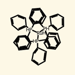 c1ccc([PH](c2ccccc2)(c2ccccc2)[RuH]([PH](c2ccccc2)(c2ccccc2)c2ccccc2)[PH](c2ccccc2)(c2ccccc2)c2ccccc2)cc1